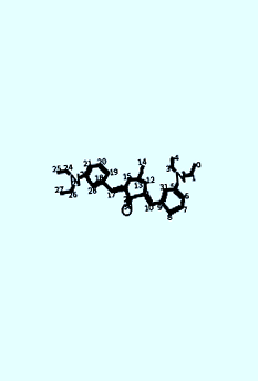 CCN(CC)c1cccc(C=C2CC(C)CC(=Cc3cccc(N(CC)CC)c3)C2=O)c1